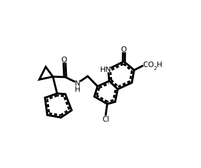 O=C(O)c1cc2cc(Cl)cc(CNC(=O)C3(c4ccccc4)CC3)c2[nH]c1=O